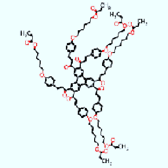 C=CC(=O)OCCCCCCOc1ccc(C=CC(=O)c2cc3c4cc(C(=O)C=Cc5ccc(OCCCCCCOC(=O)C=C)cc5)c(C(=O)C=Cc5ccc(OCCCCCCOC(=O)C=C)cc5)cc4c4cc(C(=O)C=Cc5ccc(OCCCCCCOC(=O)C=C)cc5)c(C(=O)C=Cc5ccc(OCCCCCCOC(=O)C=C)cc5)cc4c3cc2C(=O)C=Cc2ccc(OCCCCCCOC(=O)C=C)cc2)cc1